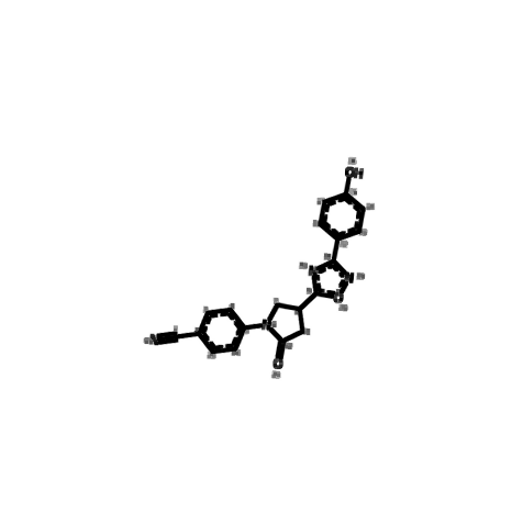 N#Cc1ccc(N2CC(c3nc(-c4ccc(O)cc4)no3)CC2=O)cc1